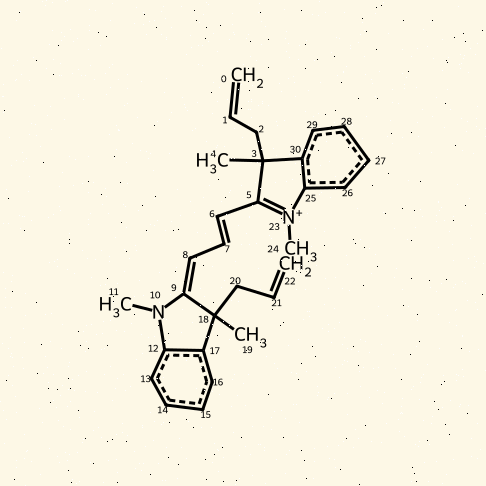 C=CCC1(C)C(/C=C/C=C2/N(C)c3ccccc3C2(C)CC=C)=[N+](C)c2ccccc21